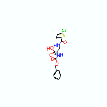 O=C(N[C@H](CNC(=O)c1ccc(Cl)s1)C(=O)O)OCc1ccccc1